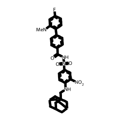 CNc1cc(F)ccc1-c1ccc(C(=O)NS(=O)(=O)c2ccc(NCC34CC5CC(CC(C5)C3)C4)c([N+](=O)[O-])c2)cc1